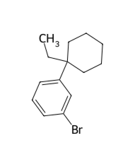 CCC1(c2cccc(Br)c2)CCCCC1